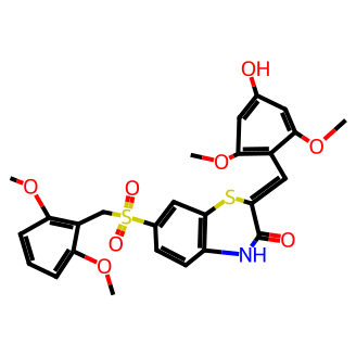 COc1cc(O)cc(OC)c1C=C1Sc2cc(S(=O)(=O)Cc3c(OC)cccc3OC)ccc2NC1=O